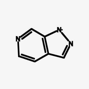 C1=N[N]c2cnccc21